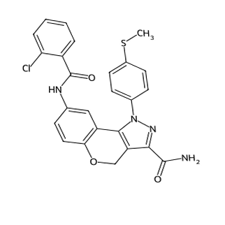 CSc1ccc(-n2nc(C(N)=O)c3c2-c2cc(NC(=O)c4ccccc4Cl)ccc2OC3)cc1